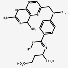 CC(C)O/C(=N\C(CCC(=O)O)C(=O)O)c1ccc(N(C)Cc2cnc3c(n2)C(N)N=C(N)N3)cc1